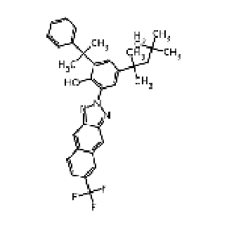 CC(C)(C)CC(C)(C)c1cc(-n2nc3cc4ccc(C(F)(F)F)cc4cc3n2)c(O)c(C(C)(C)c2ccccc2)c1